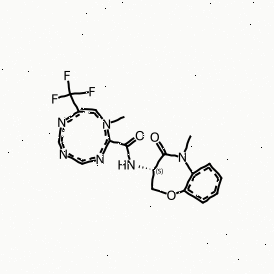 CN1C(=O)[C@@H](NC(=O)c2ncncnc(C(F)(F)F)cn2C)COc2ccccc21